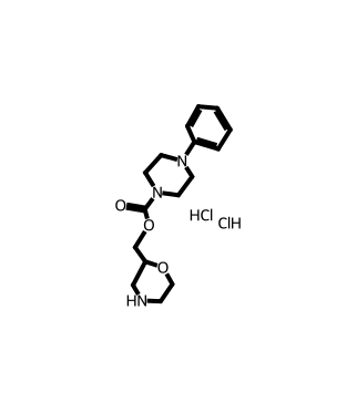 Cl.Cl.O=C(OCC1CNCCO1)N1CCN(c2ccccc2)CC1